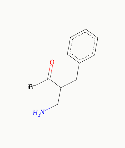 CC(C)C(=O)C(CN)Cc1ccccc1